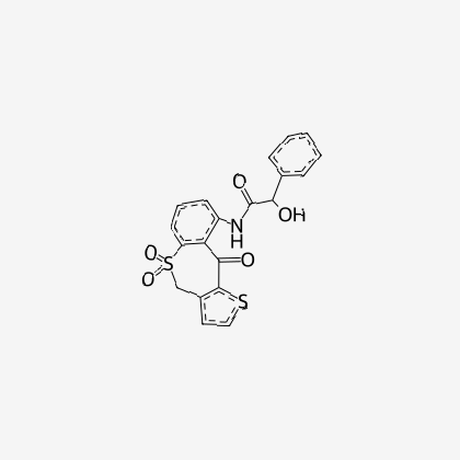 O=C1c2sccc2CS(=O)(=O)c2cccc(NC(=O)C(O)c3ccccc3)c21